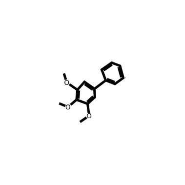 COc1cc(-c2c[c]ccc2)cc(OC)c1OC